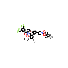 COc1ccc(C2=CCN(C(=O)OC(C)(C)C)CC2)cc1C1=C(CN2C(=O)O[C@H](c3cc(C(F)(F)F)cc(C(F)(F)F)c3)[C@@H]2C)CC(C)(C)CC1